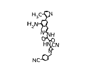 Cc1ccncc1-c1cc(N)c2cnc(NC(=O)C(=O)NC3(C#N)CN(Cc4ccc(C#N)cc4)C3)cc2c1